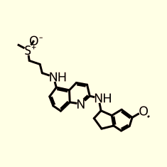 COc1ccc2c(c1)C(Nc1ccc3c(NCCC[S+](C)[O-])cccc3n1)CC2